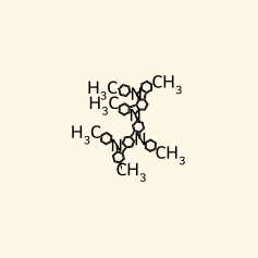 Cc1ccc(-n2c3ccc(C)cc3c3cc4c(cc32)c2cc(-n3c5ccc(C)cc5c5c3ccc3c6cc(C)ccc6n(-c6ccc(C)cc6)c35)ccc2n4-c2ccc(C)cc2)cc1